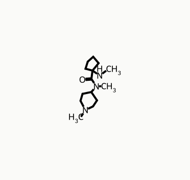 CNC1(C(=O)N(C)C2CCN(C)CC2)CCCC1